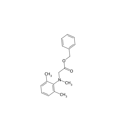 Cc1cccc(C)c1N(C)CC(=O)OCc1ccccc1